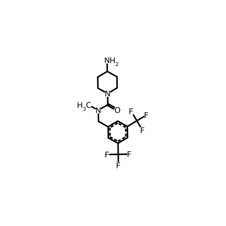 CN(Cc1cc(C(F)(F)F)cc(C(F)(F)F)c1)C(=O)N1CCC(N)CC1